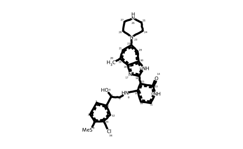 CSc1ccc(C(O)CNc2cc[nH]c(=O)c2-c2nc3c(C)cc(N4CCNCC4)cc3[nH]2)cc1Cl